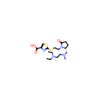 CCN(CC)CCN(C)C[C@H]1CCC(=O)N1CCSc1nc(C(=O)O)cs1